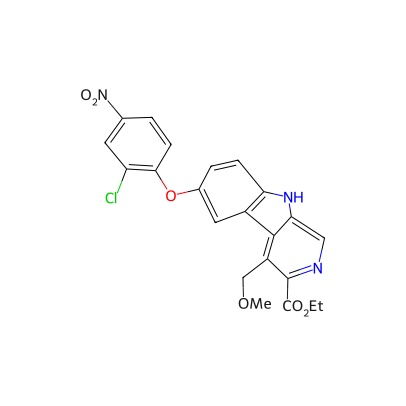 CCOC(=O)c1ncc2[nH]c3ccc(Oc4ccc([N+](=O)[O-])cc4Cl)cc3c2c1COC